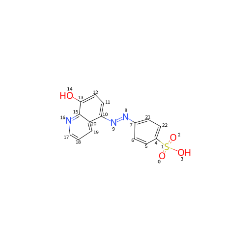 O=S(=O)(O)c1ccc(N=Nc2ccc(O)c3ncccc23)cc1